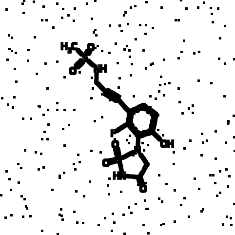 CS(=O)(=O)NCC#Cc1ccc(O)c(N2CC(=O)NS2(=O)=O)c1F